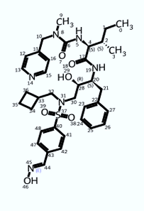 CC[C@H](C)[C@H](NC(=O)N(C)Cc1ccncc1)C(=O)N[C@@H](Cc1ccccc1)[C@H](O)CN(CC1CCC1)S(=O)(=O)c1ccc(/C=N/O)cc1